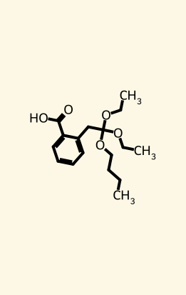 CCCCOC(Cc1ccccc1C(=O)O)(OCC)OCC